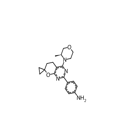 C[C@H]1COCCN1c1nc(-c2ccc(N)cc2)nc2c1CCC1(CC1)O2